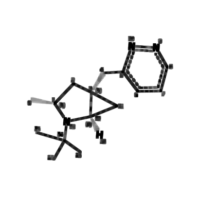 C[C@@H]1C[C@@]2(Cc3cccnn3)C[C@H]2N1C(C)(C)C